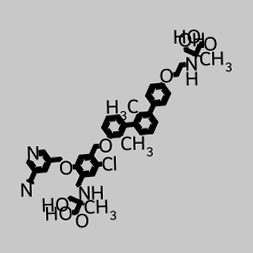 Cc1c(OCc2cc(OCc3cncc(C#N)c3)c(CN[C@@](C)(CO)C(=O)O)cc2Cl)cccc1-c1cccc(-c2ccc(OCCN[C@@](C)(CO)C(=O)O)cc2)c1C